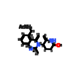 C=C1NC(=O)CCC1N1C(=C)c2c(CNC(C)=O)cccc2N=C1C